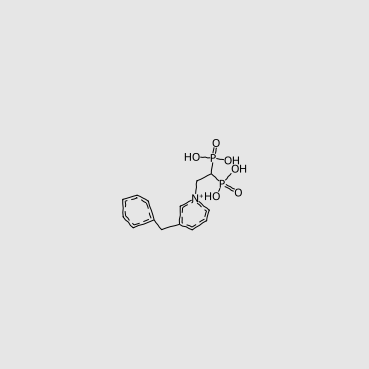 O=P(O)(O)C(C[n+]1cccc(Cc2ccccc2)c1)P(=O)(O)O